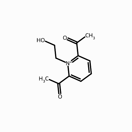 CC(=O)c1cccc(C(C)=O)[n+]1CCO